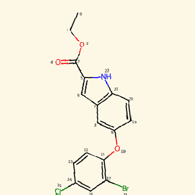 CCOC(=O)c1cc2cc(Oc3ccc(Cl)cc3Br)ccc2[nH]1